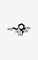 OCCN1CCCC(O)(O)[C@]1(O)CO